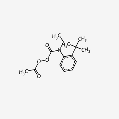 CCN(C(=O)OOC(C)=O)c1ccccc1C(C)(C)C